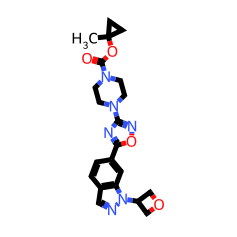 CC1(OC(=O)N2CCN(c3noc(-c4ccc5cnn(C6COC6)c5c4)n3)CC2)CC1